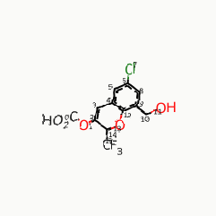 O=C(O)OC1=Cc2cc(Cl)cc(CO)c2OC1C(F)(F)F